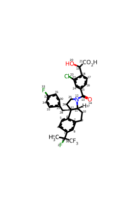 CC(F)(c1ccc2c(c1)CC[C@H]1N(C(=O)c3ccc(C(O)C(=O)O)c(Cl)c3)CC[C@@]21Cc1ccc(F)cc1)C(F)(F)F